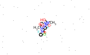 CCn1c(CO)nn(-c2nc3c(cc2F)C(=O)N(c2c(F)cccc2Cl)CN3[C@@H](C)C2OCCCO2)c1=O